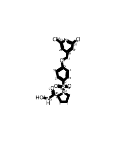 O=C(NO)[C@H]1CCCN1S(=O)(=O)c1ccc(OCc2cc(Cl)nc(Cl)c2)cc1